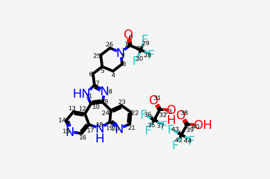 O=C(N1CCC(Cc2nc3c([nH]2)-c2ccncc2Nc2ncccc2-3)CC1)C(F)(F)F.O=C(O)C(F)(F)F.O=C(O)C(F)(F)F